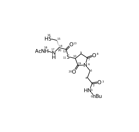 CCCCNC(=O)CCN1C(=O)CC(SC(=O)[C@@H](CS)NNC(C)=O)C1=O